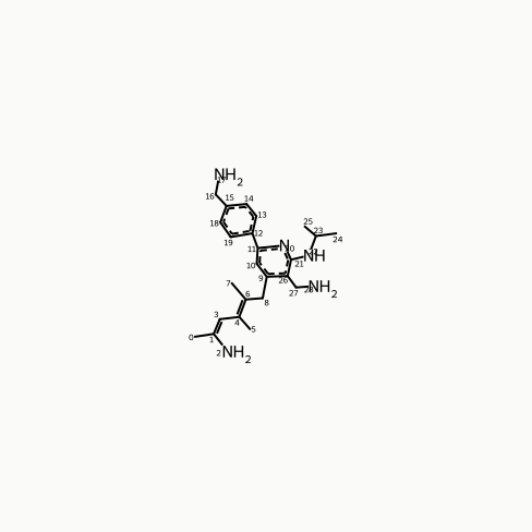 C/C(N)=C/C(C)=C(\C)Cc1cc(-c2ccc(CN)cc2)nc(NC(C)C)c1CN